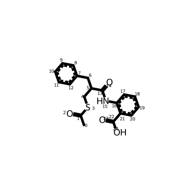 CC(=O)SCC(Cc1ccccc1)C(=O)Nc1ccccc1C(=O)O